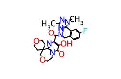 Cc1nc(-c2cc(F)ccc2CNC(=O)c2nc3n(c(=O)c2O)CCOCC32CCOCC2)n(C)n1